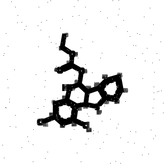 CCOC(=O)OC1Nc2cc(Cl)cc(Cl)c2C2Sc3ccccc3C12